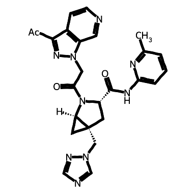 CC(=O)c1nn(CC(=O)N2[C@H](C(=O)Nc3cccc(C)n3)C[C@@]3(Cn4cncn4)C[C@@H]23)c2cnccc12